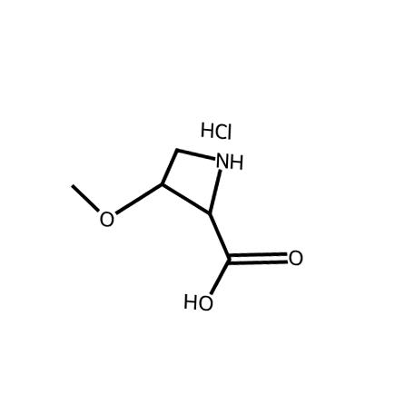 COC1CNC1C(=O)O.Cl